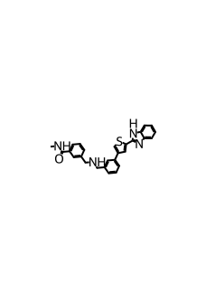 CNC(=O)c1cccc(CNCc2cccc(-c3csc(-c4nc5ccccc5[nH]4)c3)c2)c1